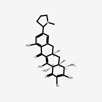 CC(=O)C1=C(O)[C@@H](N)[C@@H]2C[C@@H]3Cc4cc(C5CCCN5C)cc(O)c4C(=O)C3=C(O)[C@]2(O)C1=O